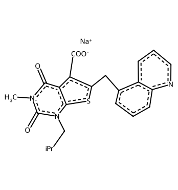 CC(C)Cn1c(=O)n(C)c(=O)c2c(C(=O)[O-])c(Cc3cccc4ncccc34)sc21.[Na+]